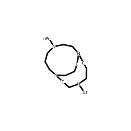 CCCN1CCCN2CCCN(CCCN(CC)CC2)CC1